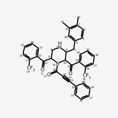 Cc1ccc(CC2NCC(C(=O)c3ccccc3C(F)(F)F)N(C(=O)C#Cc3ccccc3)C2C(=O)c2ccccc2C(F)(F)F)cc1C